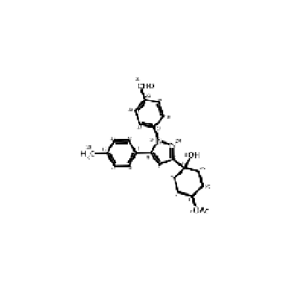 CC(=O)OC1CCC(O)(c2cc(-c3ccc(C)cc3)n(-c3ccc(C=O)cc3)n2)CC1